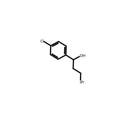 CC(C)CCC(O)c1ccc(Cl)cc1